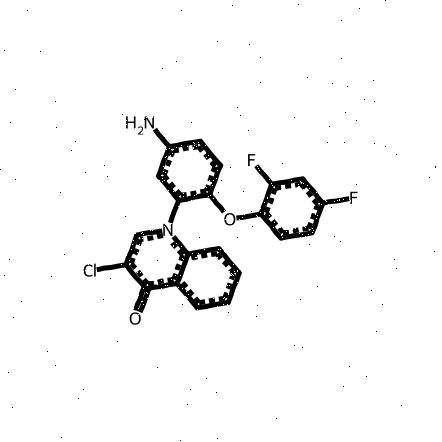 Nc1ccc(Oc2ccc(F)cc2F)c(-n2cc(Cl)c(=O)c3ccccc32)c1